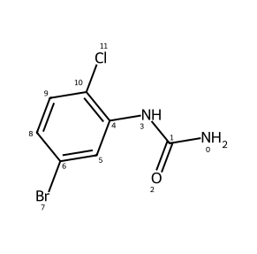 NC(=O)Nc1cc(Br)ccc1Cl